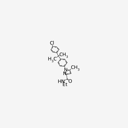 CCNC(=O)c1cc(C)n(-c2ccc(C(C)(C)c3ccc(Cl)cc3)cc2)n1